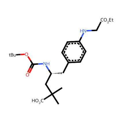 CCOC(=O)CNc1ccc(C[C@H](CC(C)(C)C(=O)O)NC(=O)OC(C)(C)C)cc1